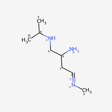 C/N=C/CC(N)CNC(C)C